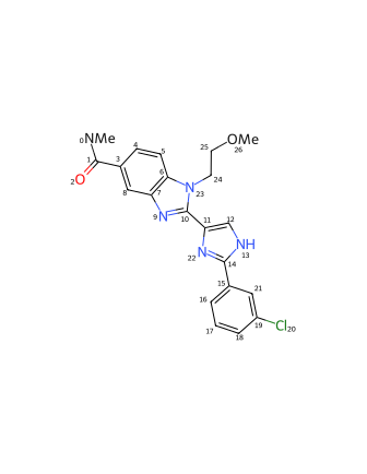 CNC(=O)c1ccc2c(c1)nc(-c1c[nH]c(-c3cccc(Cl)c3)n1)n2CCOC